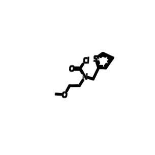 COCCN(Cc1cccs1)C(=O)Cl